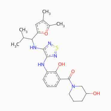 Cc1cc(C(Nc2nsnc2Nc2cccc(C(=O)N3CCCC(O)C3)c2O)C(C)C)oc1C